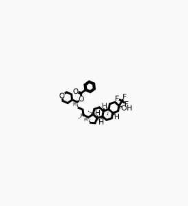 C[C@H](CC[C@@H](OC(=O)c1ccccc1)C1CCOCC1)[C@H]1CC[C@H]2[C@@H]3CC[C@H]4C[C@](O)(C(F)(F)F)CC[C@]4(C)[C@H]3CC[C@]12C